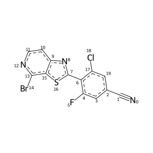 N#Cc1cc(F)c(-c2nc3ccnc(Br)c3s2)c(Cl)c1